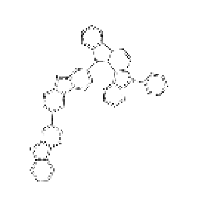 C1=CC2c3ccccc3N(c3ccc4c(c3)sc3ccc(-c5ccc6c(c5)oc5ccccc56)cc34)C2c2c1n(-c1ccccc1)c1ccccc21